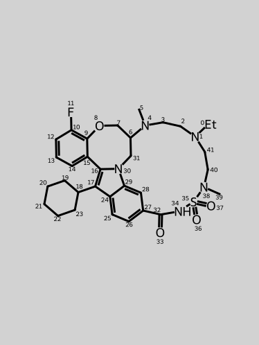 CCN1CCN(C)C2COc3c(F)cccc3-c3c(C4CCCCC4)c4ccc(cc4n3C2)C(=O)NS(=O)(=O)N(C)CC1